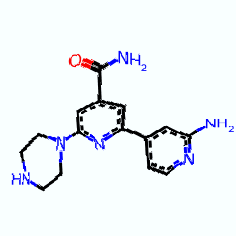 NC(=O)c1cc(-c2ccnc(N)c2)nc(N2CCNCC2)c1